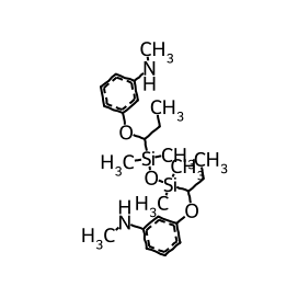 CCC(Oc1cccc(NC)c1)[Si](C)(C)O[Si](C)(C)C(CC)Oc1cccc(NC)c1